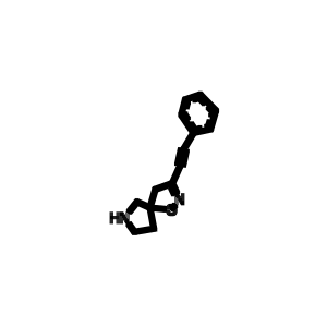 C(#Cc1ccccc1)C1=NOC2(CCNC2)C1